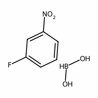 O=[N+]([O-])c1cccc(F)c1.OBO